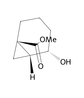 COC(=O)[C@@]12CCC[C@H](O)[C@@H]1C2